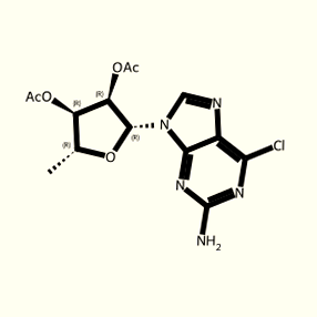 CC(=O)O[C@@H]1[C@H](OC(C)=O)[C@@H](C)O[C@H]1n1cnc2c(Cl)nc(N)nc21